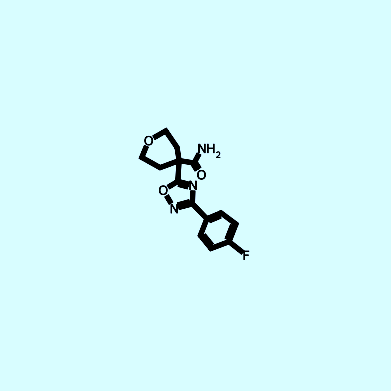 NC(=O)C1(c2nc(-c3ccc(F)cc3)no2)CCOCC1